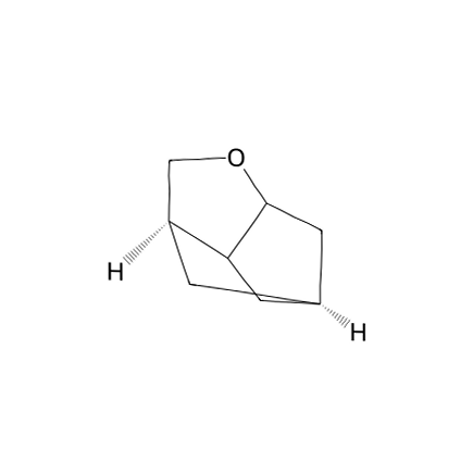 C1C2OC[C@@H]3C[C@@H]1CC23